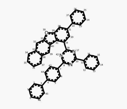 c1ccc(-c2ccc(-c3nc(-c4ccccc4)nc(-c4cc(-c5ccccc5)cc5oc6cc7ccccc7cc6c45)n3)cc2)cc1